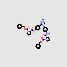 O=C(Nc1ccc(C2=NNCN2c2ccc(NC(=O)[C@@H]3CCCN3C(=O)OCc3ccccc3)cc2)cc1)[C@@H]1CCCN1C(=O)OCc1ccccc1